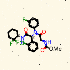 COC(=O)NCC(=O)N(c1cccc(F)c1)[C@H](C(=O)N[C@H]1CCCCC1(F)F)c1ccccc1Cl